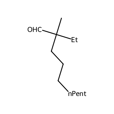 CCCCCCCCC(C)(C=O)CC